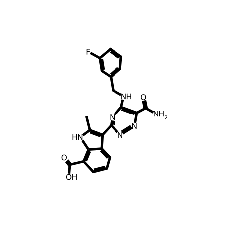 Cc1[nH]c2c(C(=O)O)cccc2c1-c1nnc(C(N)=O)c(NCc2cccc(F)c2)n1